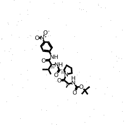 CC(C)[C@H](NC(=O)[C@@H]1CCCN1C(=O)[C@H](C)NC(=O)OC(C)(C)C)C(=O)Nc1ccc([N+](=O)[O-])cc1